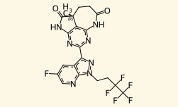 C[C@@]12CCC(=O)Nc3nc(-c4nn(CCC(F)(F)C(F)(F)F)c5ncc(F)cc45)nc(c31)NC2=O